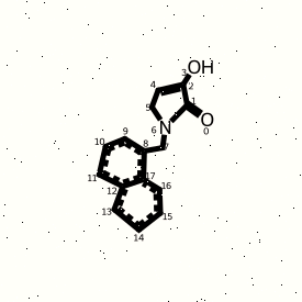 O=C1C(O)=CCN1Cc1cccc2ccccc12